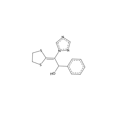 OC(C(=C1SCCS1)n1cncn1)c1ccccc1